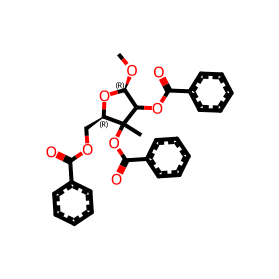 CO[C@@H]1O[C@H](COC(=O)c2ccccc2)C(C)(OC(=O)c2ccccc2)C1OC(=O)c1ccccc1